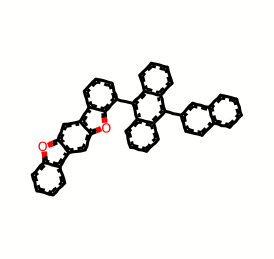 c1ccc2cc(-c3c4ccccc4c(-c4cccc5c4oc4cc6c(cc45)oc4ccccc46)c4ccccc34)ccc2c1